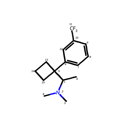 CC(N(C)C)C1(c2cccc(C(F)(F)F)c2)CCC1